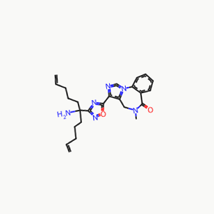 C=CCCCC(N)(CCCC=C)c1noc(-c2ncn3c2CN(C)C(=O)c2ccccc2-3)n1